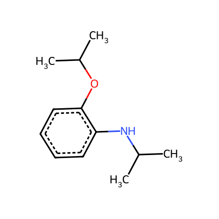 CC(C)Nc1ccccc1OC(C)C